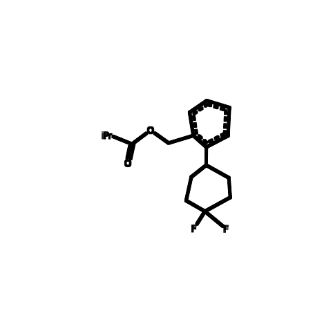 CC(C)C(=O)OCc1ccccc1C1CCC(F)(F)CC1